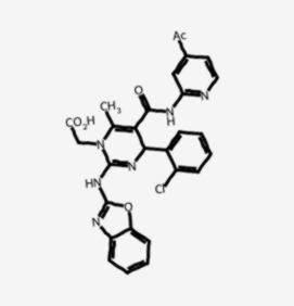 CC(=O)c1ccnc(NC(=O)C2=C(C)N(CC(=O)O)C(Nc3nc4ccccc4o3)=NC2c2ccccc2Cl)c1